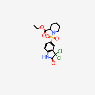 CCOC(=O)C1CCCCN1S(=O)(=O)c1ccc2c(c1)C(Cl)(Cl)C(=O)N2